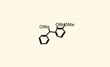 COc1cccc(C(OC)c2ccccc2)c1OC